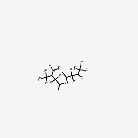 CC(OC(C)C(F)(F)C(N(F)F)C(F)(F)F)C(F)(F)C(F)C(F)(F)F